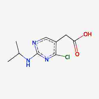 CC(C)Nc1ncc(CC(=O)O)c(Cl)n1